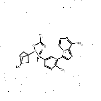 Cc1ncc(S(=O)(=O)N(OC(=O)C(F)(F)F)C23CCC(C#N)(C2)C3)cc1-c1cnc2c(N)ncnn12